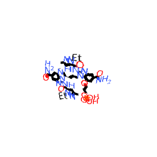 CCn1nc(C)cc1C(=O)Nc1nc2cc(C(N)=O)cc(OCCCOP(=O)(O)O)c2n1C/C=C/[C@H]1CN(C)c2cc(C(N)=O)cc3nc(NC(=O)c4cc(C)nn4CC)n1c23